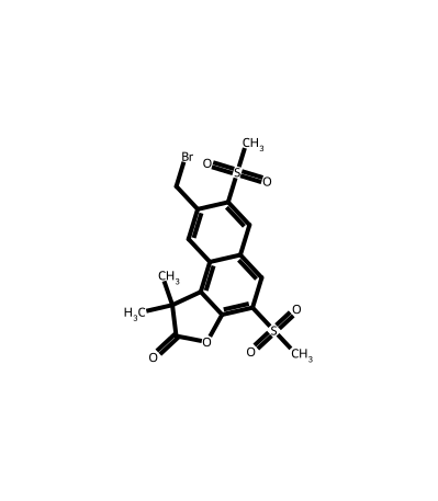 CC1(C)C(=O)Oc2c(S(C)(=O)=O)cc3cc(S(C)(=O)=O)c(CBr)cc3c21